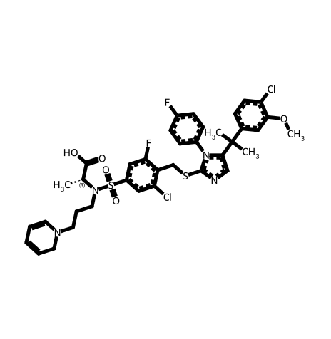 COc1cc(C(C)(C)c2cnc(SCc3c(F)cc(S(=O)(=O)N(CCCN4C=CC=CC4)[C@H](C)C(=O)O)cc3Cl)n2-c2ccc(F)cc2)ccc1Cl